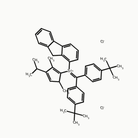 CC1=[C]([Zr+2](=[C](c2ccc(C(C)(C)C)cc2)c2ccc(C(C)(C)C)cc2)[c]2cccc3c2Cc2ccccc2-3)C(C)C=C1C(C)C.[Cl-].[Cl-]